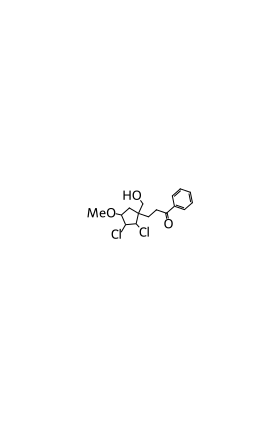 COC1CC(CO)(CCC(=O)c2ccccc2)C(Cl)C1Cl